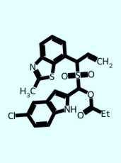 C=CC(c1cccc2nc(C)sc12)S(=O)(=O)C(OC(=O)CC)c1cc2cc(Cl)ccc2[nH]1